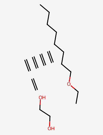 C=C.C=C.C=C.C=C.C=C.CCCCCCCCOCC.OCCO